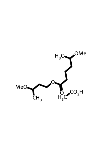 CC(=O)O.COC(C)CCCC(=O)OCCC(C)OC